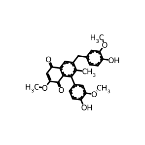 COC1=CC(=O)c2cc(Cc3ccc(O)c(OC)c3)c(C)c(-c3ccc(O)c(OC)c3)c2C1=O